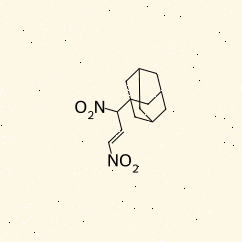 O=[N+]([O-])C=CC([N+](=O)[O-])C12CC3CC(CC(C3)C1)C2